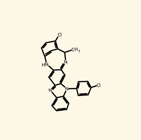 CC1N=c2cc3c(cc2Nc2ccc(Cl)c1c2)=Nc1ccccc1N3c1ccc(Cl)cc1